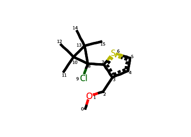 COCc1ccsc1C1(Cl)C(C)(C)C1(C)C